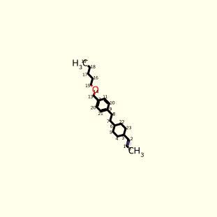 C/C=C/C1CCC(CCc2ccc(COCCCCC)cc2)CC1